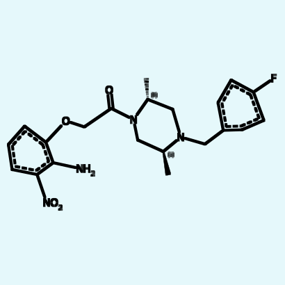 C[C@@H]1CN(Cc2ccc(F)cc2)[C@@H](C)CN1C(=O)COc1cccc([N+](=O)[O-])c1N